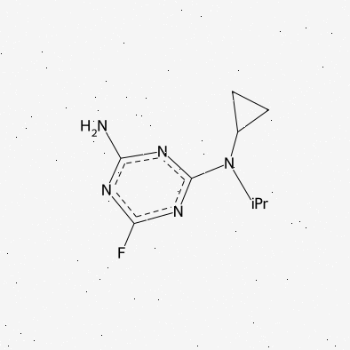 CC(C)N(c1nc(N)nc(F)n1)C1CC1